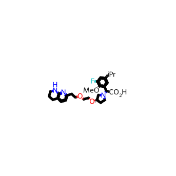 COc1c(F)cc(C(C)C)cc1C(C(=O)O)N1CC[C@@H](OCCOCCc2ccc3c(n2)NCCC3)C1